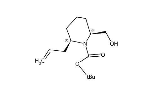 C=CC[C@H]1CCC[C@@H](CO)N1C(=O)OC(C)(C)C